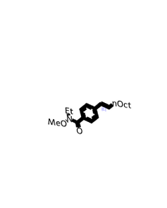 CCCCCCCC/C=C/c1ccc(C(=O)N(CC)OC)cc1